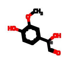 COc1cc([C@@H](O)C=O)ccc1O